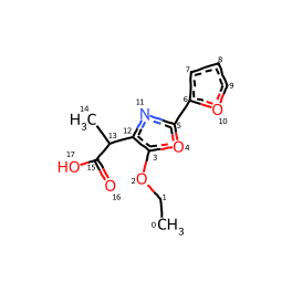 CCOc1oc(-c2ccco2)nc1C(C)C(=O)O